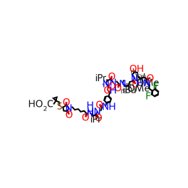 CC[C@H](C)C([C@@H](CC(=O)N1C[C@@H](O)C[C@H]1[C@H](OC)[C@@H](C)C(=O)NCCc1c(F)cccc1F)OC)N(C)C(=O)CNC(=O)C(C(C)C)N(C)C(=O)OCc1ccc(NC(=O)CNC(=O)C(NC(=O)CCCCCN2C(=O)CC(SCC3(CC(=O)O)CC3)C2=O)C(C)C)cc1